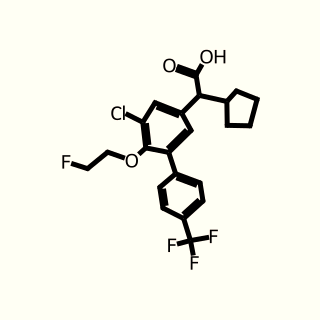 O=C(O)C(c1cc(Cl)c(OCCF)c(-c2ccc(C(F)(F)F)cc2)c1)C1CCCC1